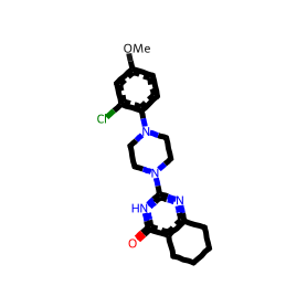 COc1ccc(N2CCN(c3nc4c(c(=O)[nH]3)CCCC4)CC2)c(Cl)c1